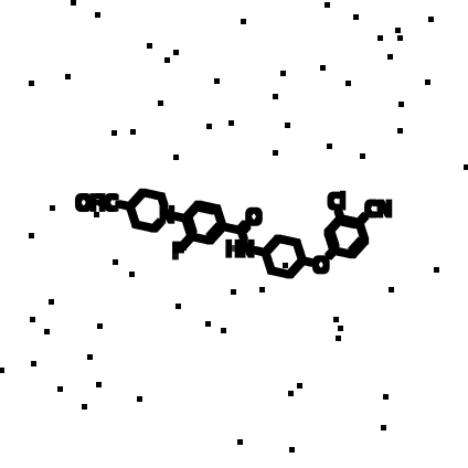 N#Cc1ccc(OC2CCC(NC(=O)c3ccc(N4CCC(C=O)CC4)c(F)c3)CC2)cc1Cl